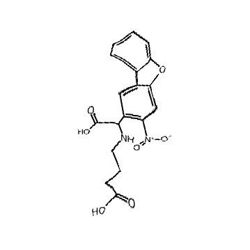 O=C(O)CCCNC(C(=O)O)c1cc2c(cc1[N+](=O)[O-])oc1ccccc12